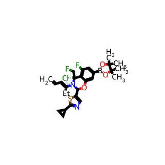 C=C/C=C(\CC)N1C(c2cnc(C3CC3)s2)Oc2cc(B3OC(C)(C)C(C)(C)O3)cc(F)c2[C@]1(Cl)CF